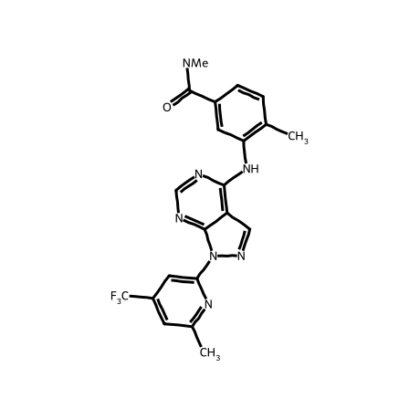 CNC(=O)c1ccc(C)c(Nc2ncnc3c2cnn3-c2cc(C(F)(F)F)cc(C)n2)c1